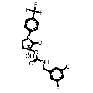 O=C(NCc1cc(F)cc(Cl)c1)O[C@@]1(O)CCN(c2ccc(C(F)(F)F)cc2)C1=O